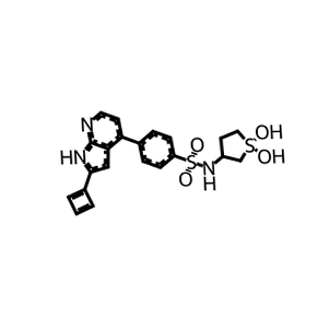 O=S(=O)(NC1CCS(O)(O)C1)c1ccc(-c2ccnc3[nH]c(C4=CC=C4)cc23)cc1